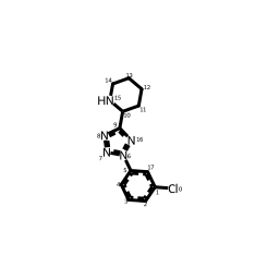 Clc1cccc(-n2nnc(C3CCCCN3)n2)c1